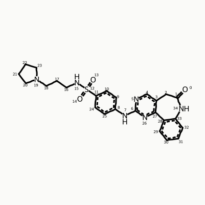 O=C1Cc2cnc(Nc3ccc(S(=O)(=O)NCCCN4CCCC4)cc3)nc2-c2ccccc2N1